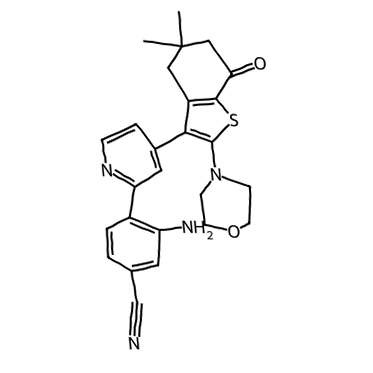 CC1(C)CC(=O)c2sc(N3CCOCC3)c(-c3ccnc(-c4ccc(C#N)cc4N)c3)c2C1